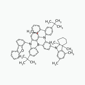 Cc1cc2c3c(c1)N(c1cccc4c1oc1ccccc14)c1cc(C(C)(C)C)ccc1B3c1ccc(N3c4cc(C)cc(C)c4C4(C)CCCCC34C)cc1N2c1ccc(C(C)(C)C)cc1-c1ccccc1